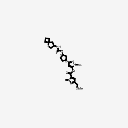 COCc1cc(C(=O)Nc2cc([C@H]3CC[C@@H](OC(=O)NC4COC5(CCC5)C4)C3)nn2C(C)(C)C)n(C)n1